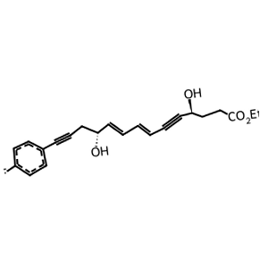 CCOC(=O)CC[C@H](O)C#C/C=C/C=C/[C@H](O)CC#Cc1ccc(F)cc1